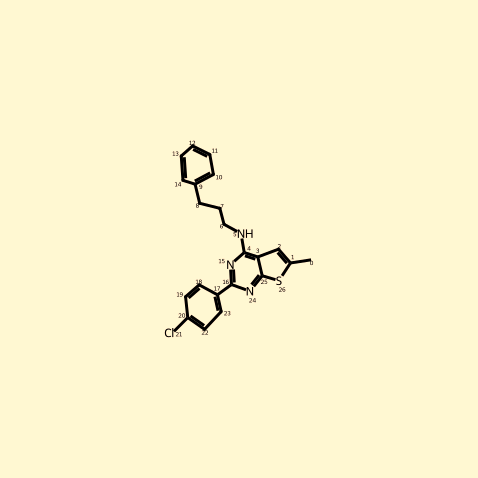 Cc1cc2c(NCCCc3ccccc3)nc(-c3ccc(Cl)cc3)nc2s1